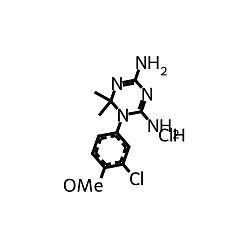 COc1ccc(N2C(N)=NC(N)=NC2(C)C)cc1Cl.Cl